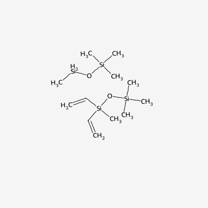 C=C[Si](C)(C=C)O[Si](C)(C)C.C[SiH2]O[Si](C)(C)C